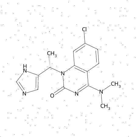 C[C@@H](c1cnc[nH]1)n1c(=O)nc(N(C)C)c2ccc(Cl)cc21